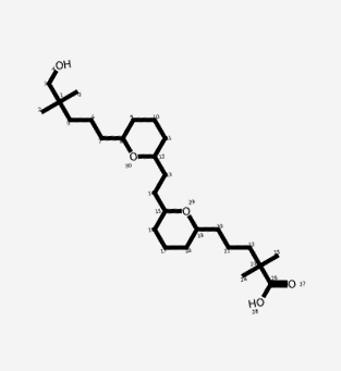 CC(C)(CO)CCCC1CCCC(CCC2CCCC(CCCC(C)(C)C(=O)O)O2)O1